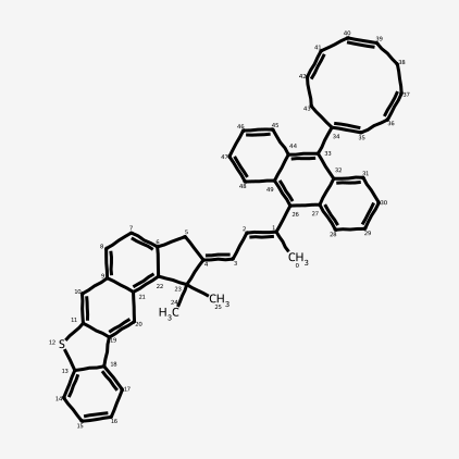 C/C(=C\C=C1/Cc2ccc3cc4sc5ccccc5c4cc3c2C1(C)C)c1c2ccccc2c(/C2=C/C=C\C/C=C\C=C/C2)c2ccccc12